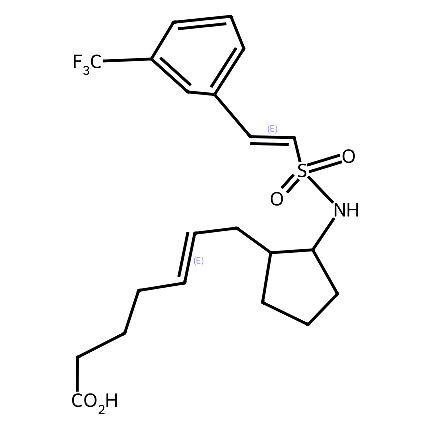 O=C(O)CCC/C=C/CC1CCCC1NS(=O)(=O)/C=C/c1cccc(C(F)(F)F)c1